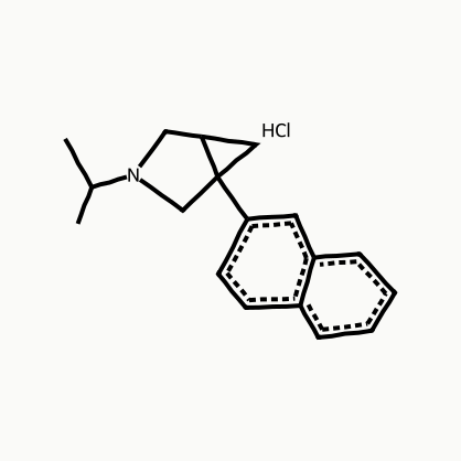 CC(C)N1CC2CC2(c2ccc3ccccc3c2)C1.Cl